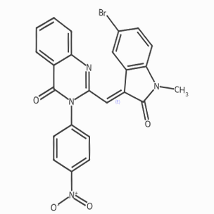 CN1C(=O)/C(=C/c2nc3ccccc3c(=O)n2-c2ccc([N+](=O)[O-])cc2)c2cc(Br)ccc21